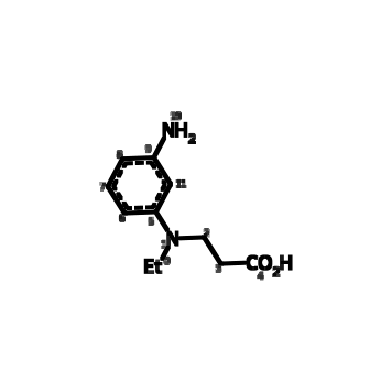 CCN(CCC(=O)O)c1cccc(N)c1